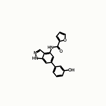 O=C(Nc1cc(-c2cccc(O)c2)cc2[nH]ncc12)c1ccco1